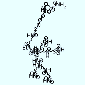 CCN(CCNC(=O)[C@H](CCCCNC(=O)[C@H](CCCCNC(=O)CCSC1CC(=O)NC1=O)NC(=O)CCSC1CC(=O)NC1=O)NC(=O)[C@H](CCCCNC(=O)CCSC1CC(=O)NC1=O)NC(=O)CCSC1CC(=O)NC1=O)C(=O)CCCCCNC(=O)CCOCCOCCOCCOCCn1nnc2c1-c1ccccc1C(C(=O)CCC(N)=O)Cc1ccccc1-2